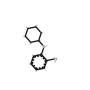 CCc1ccccc1OC1CCCCC1